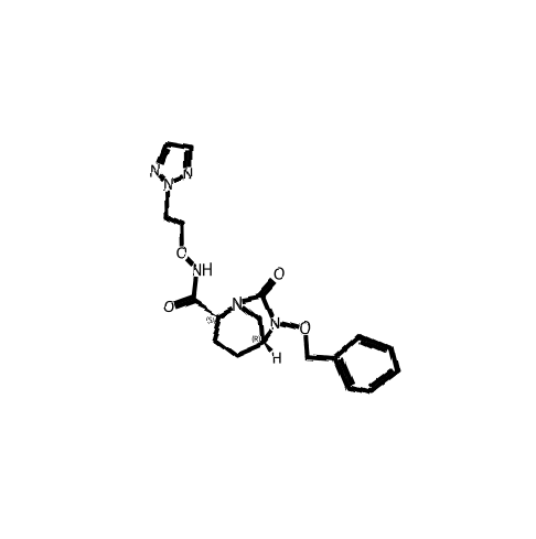 O=C(NOCCn1nccn1)[C@@H]1CC[C@@H]2CN1C(=O)N2OCc1ccccc1